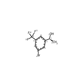 C[C@H](O)c1cc(Br)cc(C(F)(F)F)c1